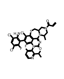 C=CC(=O)N1CC(C)N2c3nc(=O)n(-c4c(C)ccnc4C(C)C)c4c(F)c(-c5c(N)c(Cl)cc(Cl)c5F)c(Cl)c(c34)SCC2C1